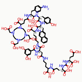 Nc1ccc(C[C@H](NC(=O)CCC(C(=O)O)N2CCN(CC(=O)O)CCN(CC(=O)O)CCN(CC(O)O)CC2)C(O)N[C@H](Cc2ccc(O)cc2)C(=O)N[C@H](Cc2ccc3ccccc3c2)C(=O)N[C@H](CCCCNC(=O)[C@@H](CC(=O)NCCCC(NC(=O)CC[C@H](NC(=O)N[C@@H](CCC(=O)O)C(=O)O)C(=O)O)C(=O)O)NC(=O)c2cc(O)cc(O)c2)C(=O)O)cc1